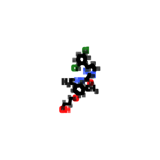 Cc1cc(OCCCO)cc(C)c1NC(=O)c1nccc(-c2cc(Cl)ccc2Cl)n1